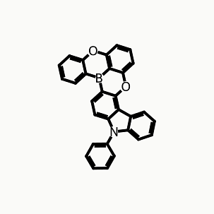 c1ccc(-n2c3ccccc3c3c4c(ccc32)B2c3ccccc3Oc3cccc(c32)O4)cc1